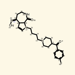 O=C(c1ccc(F)cc1)C1CCN(CCCCN2C=CC3/C(=N\O)CCNC(=O)C32)CC1